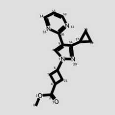 COC(=O)C1CC(n2cc(-c3ncccn3)c(C3CC3)n2)C1